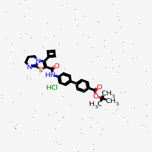 CC(C)(C)OC(=O)c1ccc(-c2ccc(NC(=O)C3=C(C4=CC=C4)N4CCCN=C4S3)cc2)cc1.Cl